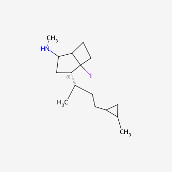 CNC1C[C@@H](C(C)CCC2CC2C)C2(I)CCC12